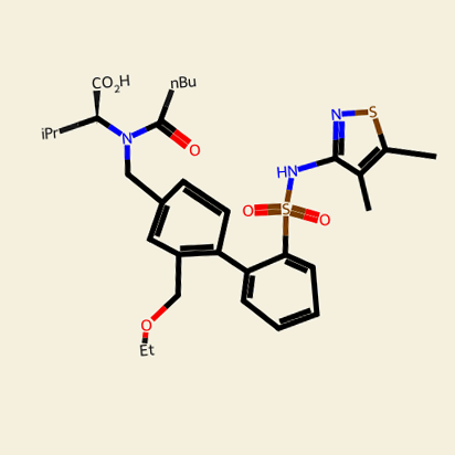 CCCCC(=O)N(Cc1ccc(-c2ccccc2S(=O)(=O)Nc2nsc(C)c2C)c(COCC)c1)[C@H](C(=O)O)C(C)C